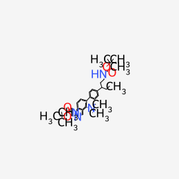 CCC(CCNC(=O)OC(C)(C)C)c1ccc(-c2ccc3c(cnn3C(=O)OC(C)(C)C)c2N(C)C)cc1